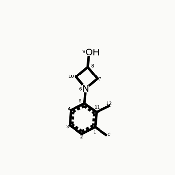 Cc1cccc(N2CC(O)C2)c1C